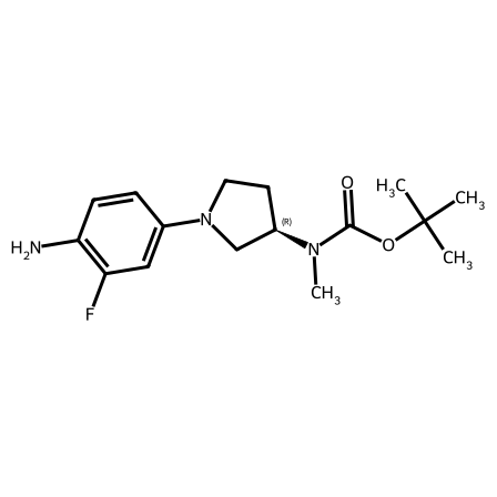 CN(C(=O)OC(C)(C)C)[C@@H]1CCN(c2ccc(N)c(F)c2)C1